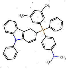 Cc1cc(C)cc(S(c2ccccc2)(c2ccc(N(C)C)cc2)C2C=Cc3c(c4ccccc4n3-c3ccccc3)C2)c1